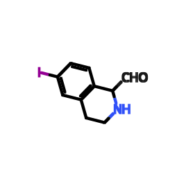 O=CC1NCCc2cc(I)ccc21